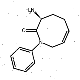 N[C@H]1CC/C=C\CN(c2ccccc2)C1=O